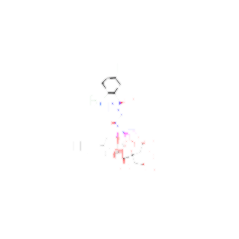 CC(C)C[C@H](NC(=O)CNC(=O)c1cc(F)ccc1Br)B1OC(=O)C(CC(=O)O)(CC(=O)O)O1